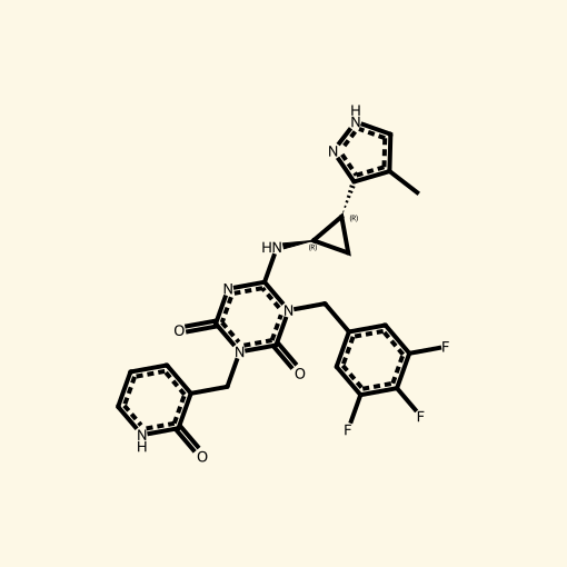 Cc1c[nH]nc1[C@@H]1C[C@H]1Nc1nc(=O)n(Cc2ccc[nH]c2=O)c(=O)n1Cc1cc(F)c(F)c(F)c1